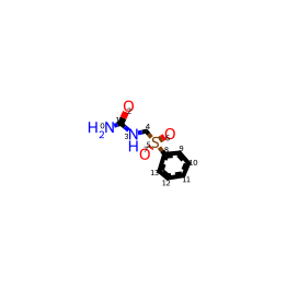 NC(=O)NCS(=O)(=O)c1ccccc1